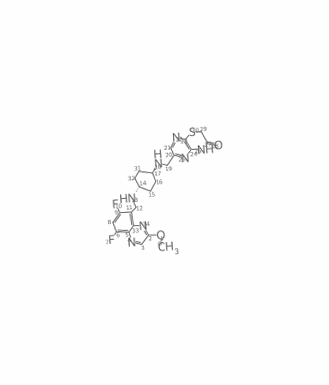 COc1cnc2c(F)cc(F)c(CN[C@H]3CC[C@H](NCc4cnc5c(n4)NC(=O)CS5)CC3)c2n1